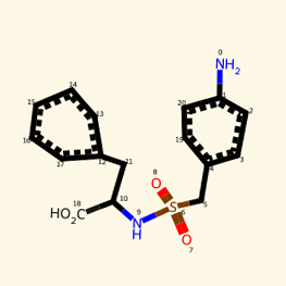 Nc1ccc(CS(=O)(=O)NC(Cc2ccccc2)C(=O)O)cc1